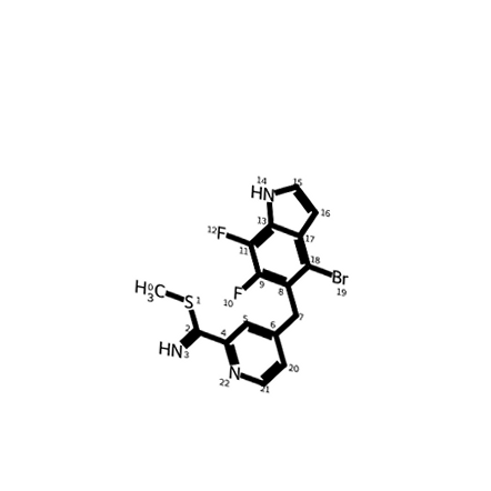 CSC(=N)c1cc(Cc2c(F)c(F)c3[nH]ccc3c2Br)ccn1